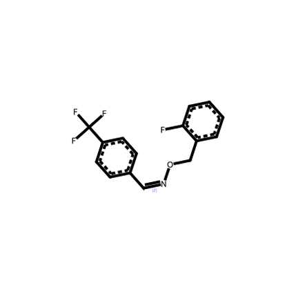 Fc1ccccc1CO/N=[C]\c1ccc(C(F)(F)F)cc1